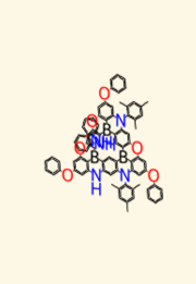 Cc1cc(C)c(N2c3cc4c(cc3B3c5cc6c(cc5Oc5cc(Oc7ccccc7)cc2c53)N(c2c(C)cc(C)cc2C)c2cc(Oc3ccccc3)cc3c2B6c2[nH]c5ccccc5c2O3)B2c3[nH]c5ccccc5c3Oc3cc(Oc5ccccc5)cc(c32)N4)c(C)c1